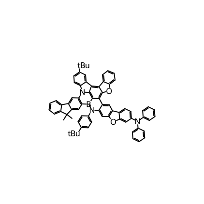 CC(C)(C)c1ccc(N2B3c4cc5c(cc4-n4c6ccc(C(C)(C)C)cc6c6c7c(oc8ccccc87)c(c3c64)-c3cc4c(cc32)oc2cc(N(c3ccccc3)c3ccccc3)ccc24)-c2ccccc2C5(C)C)cc1